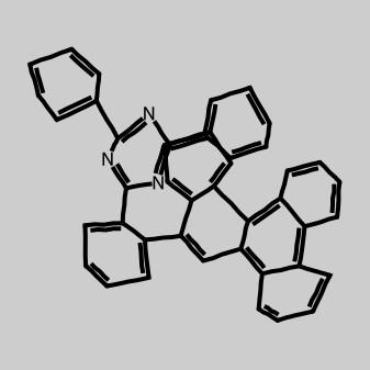 c1ccc(-c2nc(-c3ccccc3)nc(-c3ccccc3-c3cc4c5ccccc5c5ccccc5c4c4ccccc34)n2)cc1